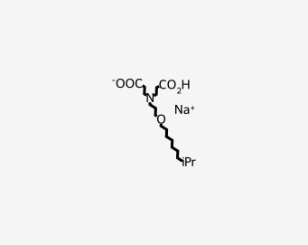 CC(C)CCCCCCCOCCCN(CCC(=O)[O-])CCC(=O)O.[Na+]